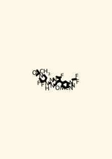 COc1nc(N[C@@H]2CCN(C3(C)COC3)CC2(F)F)nn2cc(F)c(-c3ccc4nnn(CC(F)F)c4c3)c12